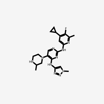 Cc1nc(Nc2ncc(N3CCNC(C)C3)c(Nc3cn(C)nn3)n2)cc(C2CC2)c1F